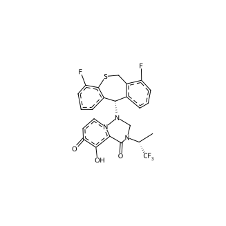 C[C@@H](N1CN([C@H]2c3cccc(F)c3CSc3c(F)cccc32)n2ccc(=O)c(O)c2C1=O)C(F)(F)F